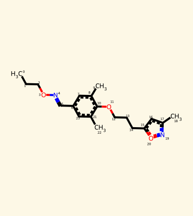 CCCON=Cc1cc(C)c(OCCCc2cc(C)no2)c(C)c1